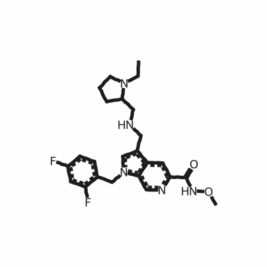 CCN1CCCC1CNCc1cn(Cc2ccc(F)cc2F)c2cnc(C(=O)NOC)cc12